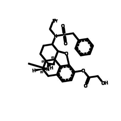 CC(C)CN(C1CC[C@H]2[C@H]3Cc4ccc(OC(=O)CO)c5c4[C@@]2(CCN3C)C1O5)S(=O)(=O)Cc1ccccc1